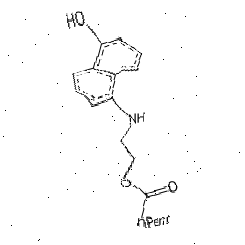 CCCCCC(=O)OCCNc1cccc2c(O)cccc12